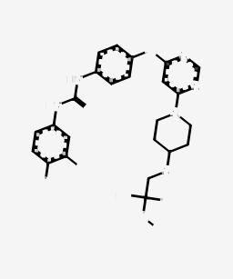 Cc1ccc(NC(=O)Nc2ccc(Oc3cc(N4CCC(NCC(C)(C)OC=O)CC4)ncn3)cc2)cc1C(F)(F)F